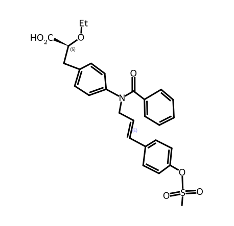 CCO[C@@H](Cc1ccc(N(C/C=C/c2ccc(OS(C)(=O)=O)cc2)C(=O)c2ccccc2)cc1)C(=O)O